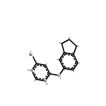 Brc1cc(Oc2ccc3c(c2)CCC3)ncn1